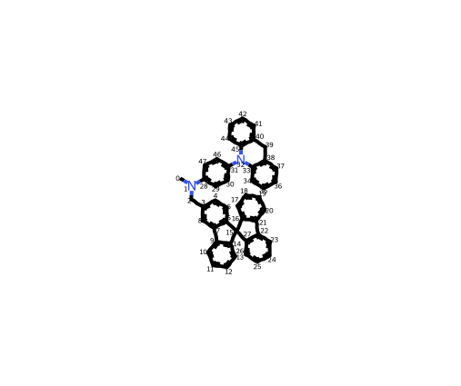 CN(Cc1ccc2c(c1)-c1ccccc1C21c2ccccc2-c2ccccc21)c1ccc(N2c3ccccc3Cc3ccccc32)cc1